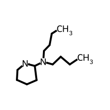 CCCCN(CCCC)C1CCCC[N]1